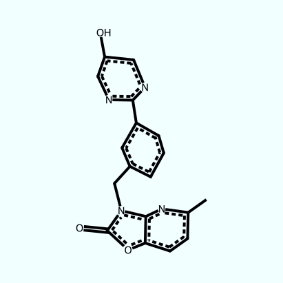 Cc1ccc2oc(=O)n(Cc3cccc(-c4ncc(O)cn4)c3)c2n1